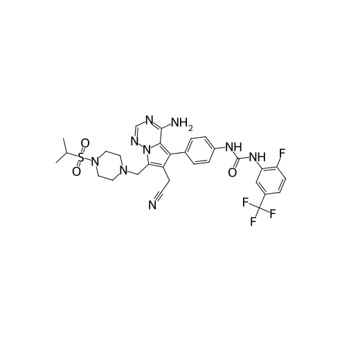 CC(C)S(=O)(=O)N1CCN(Cc2c(CC#N)c(-c3ccc(NC(=O)Nc4cc(C(F)(F)F)ccc4F)cc3)c3c(N)ncnn23)CC1